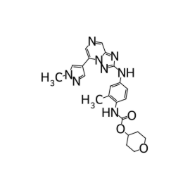 Cc1cc(Nc2nc3cncc(-c4cnn(C)c4)n3n2)ccc1NC(=O)OC1CCOCC1